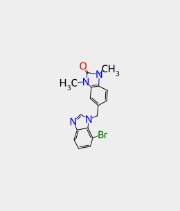 Cn1c(=O)n(C)c2cc(Cn3cnc4cccc(Br)c43)ccc21